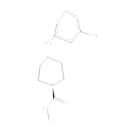 CNC(=O)[C@H]1CC[C@H](Nc2cc(C)ncn2)CC1